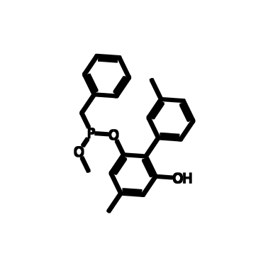 COP(Cc1ccccc1)Oc1cc(C)cc(O)c1-c1cccc(C)c1